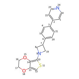 c1cc(-c2ccc(C3CN(c4scc5c4OCCO5)C3)cc2)ccn1